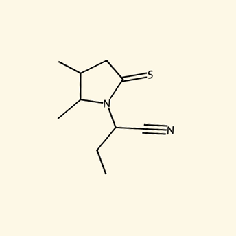 CCC(C#N)N1C(=S)CC(C)C1C